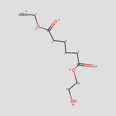 CCCCCCCCCCOC(=O)CCCCC(=O)OCCO